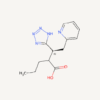 CCCC(C(=O)O)[C@H](Cc1ccccn1)c1nnn[nH]1